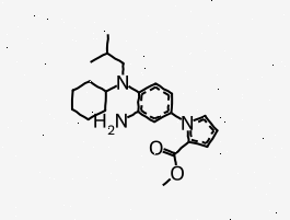 COC(=O)c1cccn1-c1ccc(N(CC(C)C)C2CCCCC2)c(N)c1